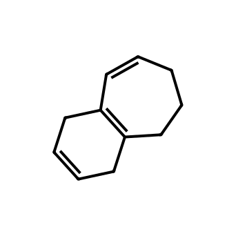 C1=CC2=C(CC=CC2)CCC1